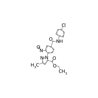 CCOC(=O)c1cc(C)nn1-c1ccc(C(=O)Nc2ccc(Cl)cc2)cc1N=O